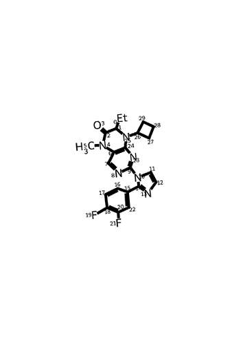 CCC1C(=O)N(C)c2cnc(-n3ccnc3-c3ccc(F)c(F)c3)nc2N1C1CCC1